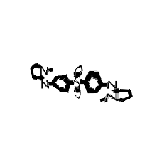 CN1CCCC1=Nc1ccc(S(=O)(=O)c2ccc(N=C3CCCN3C)cc2)cc1